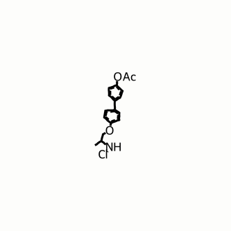 CC(=O)Oc1ccc(-c2ccc(OCC(C)NCl)cc2)cc1